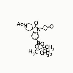 CC(=O)N1CCC2(CC1)C(=O)N(C1CC(=O)C1)c1cc(B3OC(C)(C)C(C)(C)O3)ccc12